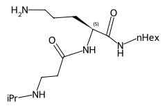 CCCCCCNC(=O)[C@H](CCCN)NC(=O)CCNC(C)C